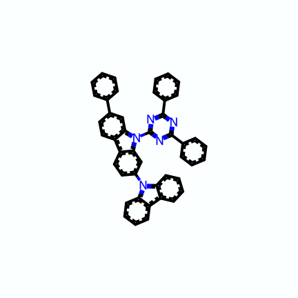 c1ccc(-c2ccc3c4ccc(-n5c6ccccc6c6ccccc65)cc4n(-c4nc(-c5ccccc5)nc(-c5ccccc5)n4)c3c2)cc1